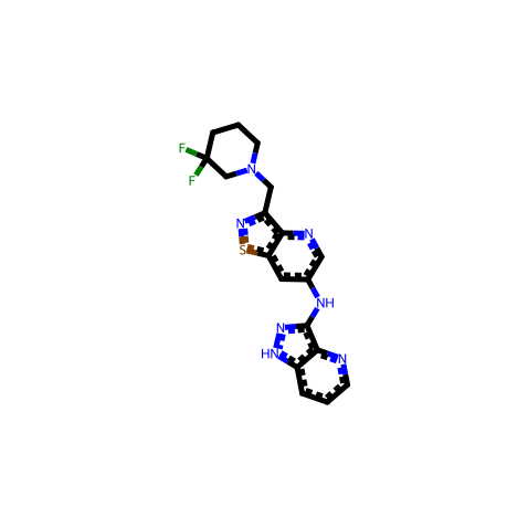 FC1(F)CCCN(Cc2nsc3cc(Nc4n[nH]c5cccnc45)cnc23)C1